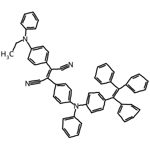 CCN(c1ccccc1)c1ccc(/C(C#N)=C(\C#N)c2ccc(N(c3ccccc3)c3ccc(C(=C(c4ccccc4)c4ccccc4)c4ccccc4)cc3)cc2)cc1